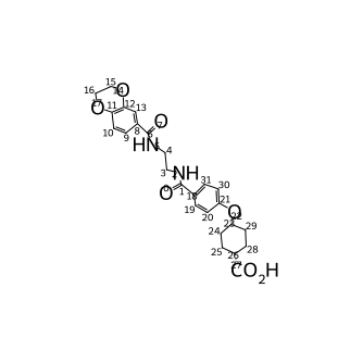 O=C(NCCNC(=O)c1ccc2c(c1)OCCO2)c1ccc(O[C@H]2CC[C@@H](C(=O)O)CC2)cc1